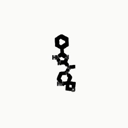 CN(c1n[nH]c(-c2ccccc2)n1)N1CCNC2(COC2)C1